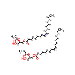 CCCCCCCC/C=C\CCCCCCCC(=O)OCC(CO)OC(=O)CC.CCCCCCCC/C=C\CCCCCCCC(=O)OCC(CO)OC(C)=O